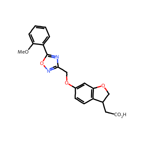 COc1ccccc1-c1nc(COc2ccc3c(c2)OCC3CC(=O)O)no1